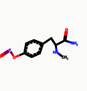 CNC(Cc1ccc(OP=O)cc1)C(N)=O